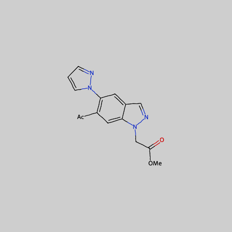 COC(=O)Cn1ncc2cc(-n3cccn3)c(C(C)=O)cc21